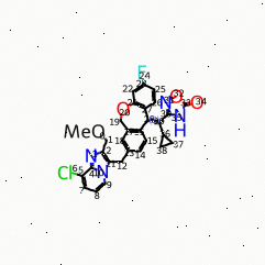 COCc1nc2c(Cl)cccn2c1Cc1ccc2c(c1)COc1cc(F)ccc1/C2=C(\c1noc(=O)[nH]1)C1CC1